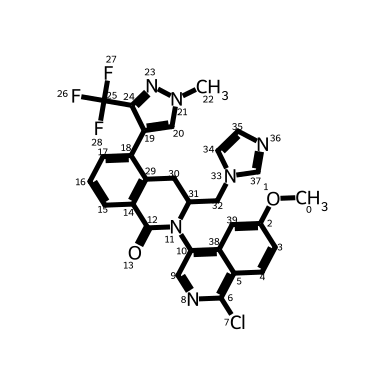 COc1ccc2c(Cl)ncc(N3C(=O)c4cccc(-c5cn(C)nc5C(F)(F)F)c4CC3Cn3ccnc3)c2c1